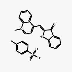 C[n+]1ccc(C=C2Nc3ccccc3C2=O)c2ccccc21.Cc1ccc(S(=O)(=O)[O-])cc1